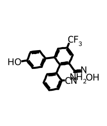 N#Cc1ccccc1-c1c(/C(N)=N/O)cc(C(F)(F)F)cc1-c1ccc(O)cc1